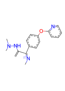 C=C(NN(C)C)/C(=N\C)c1ccc(Oc2ccccn2)cc1